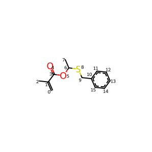 C=C(C)C(=O)OC(C)SCc1ccccc1